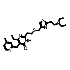 CCc1nc(CCSCc2csc(CCN(CC)CC)n2)[nH]c(=O)c1Cc1cc(C)ccn1